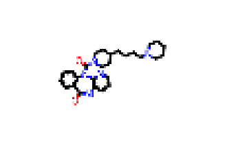 O=C1Nc2cccnc2N(C(=O)N2CCC(CCCCN3CCCCC3)CC2)c2ccccc21